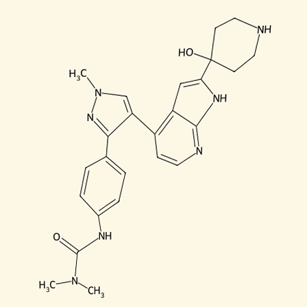 CN(C)C(=O)Nc1ccc(-c2nn(C)cc2-c2ccnc3[nH]c(C4(O)CCNCC4)cc23)cc1